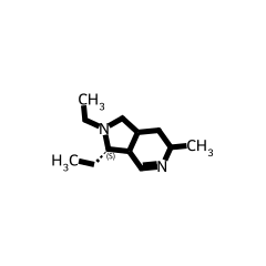 CC[C@H]1C2C=NC(C)CC2CN1CC